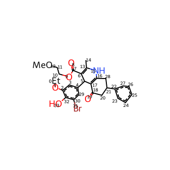 CCOc1cc(C2C(C(=O)OCCOC)=C(C)NC3=C2C(=O)CC(c2ccccc2)C3)cc(Br)c1O